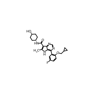 Cc1[nH]c2c(-c3cc(F)ccc3OCC3CC3)ncnc2c1C(=O)N[C@H]1CC[C@H](O)CC1